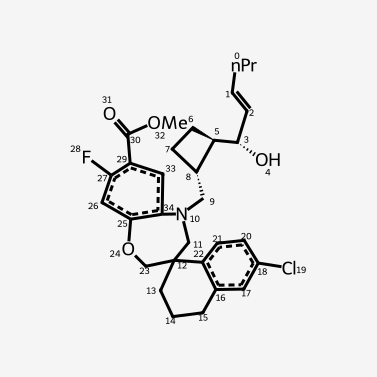 CCC/C=C/[C@H](O)[C@@H]1CC[C@H]1CN1CC2(CCCc3cc(Cl)ccc32)COc2cc(F)c(C(=O)OC)cc21